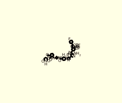 C[C@H](Oc1cc(-c2nn(C)c3c(-c4cnn(C5CCC(C(=O)NC6CC(Nc7cccc8c7C(=O)N([C@@H]7CCC(=O)NC7=O)C8=O)C6)CC5)c4)cnc(N)c23)ccc1NS(=O)(=O)C(F)F)c1ccc(F)cc1